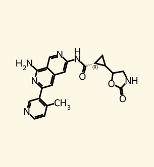 Cc1ccncc1-c1cc2cc(NC(=O)[C@@H]3CC3C3CNC(=O)O3)ncc2c(N)n1